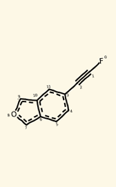 FC#Cc1ccc2co[c]c2c1